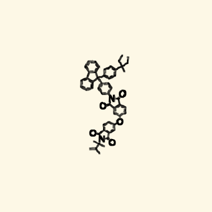 C=C(C)C(C)(C)N1C(=O)c2ccc(Oc3ccc4c(c3)C(=O)N(c3ccc(C5(c6ccc(C(C)(CC)CC)cc6)c6ccccc6-c6ccccc65)cc3)C4=O)cc2C1=O